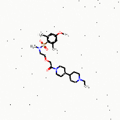 CCN1CCC(C2CCN(C(=O)COCCN(C)S(=O)(=O)c3c(C)cc(OC)cc3C)CC2)CC1